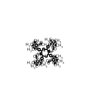 CC(=O)OC[C@H]1O[C@@H](Oc2ccc(-c3c4nc(c(-c5ccc(O[C@@H]6O[C@H](COC(C)=O)[C@H](OC(C)=O)[C@H](OC(C)=O)[C@H]6OC(C)=O)cc5)c5ccc([nH]5)c(-c5ccc(O[C@@H]6O[C@H](COC(C)=O)[C@H](OC(C)=O)[C@H](OC(C)=O)[C@H]6OC(C)=O)cc5)c5nc(c(-c6ccc(O[C@@H]7O[C@H](COC(C)=O)[C@H](OC(C)=O)[C@H](OC(C)=O)[C@H]7OC(C)=O)cc6)c6ccc3[nH]6)CC5)CC4)cc2)[C@H](OC(C)=O)[C@@H](OC(C)=O)[C@H]1OC(C)=O